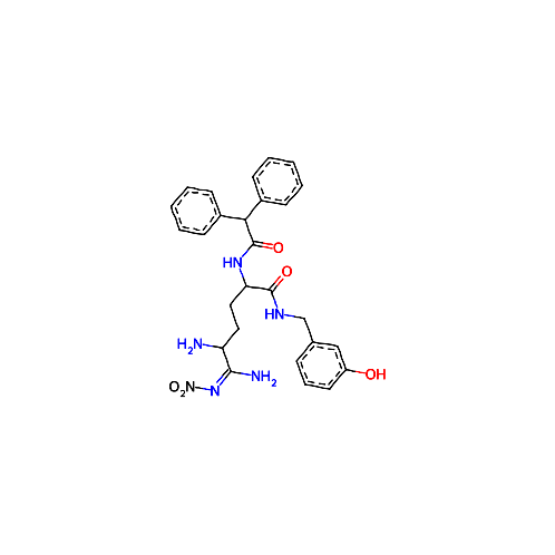 N/C(=N/[N+](=O)[O-])C(N)CCC(NC(=O)C(c1ccccc1)c1ccccc1)C(=O)NCc1cccc(O)c1